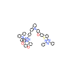 c1ccc(-c2nc(-c3ccccc3)nc(-c3cccc4c3sc3cc5oc6cc(-n7c8ccccc8c8ccc(-c9ccc(-c%10nc(-c%11ccccc%11)nc(-c%11cccc%12oc%13ccc%14oc%15cc(-n%16c%17ccccc%17c%17ccccc%17%16)ccc%15c%14c%13c%11%12)n%10)cc9)cc87)ccc6c5cc34)n2)cc1